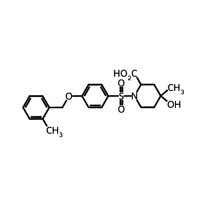 Cc1ccccc1COc1ccc(S(=O)(=O)N2CCC(C)(O)CC2C(=O)O)cc1